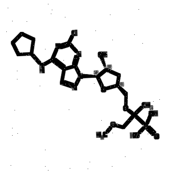 COCC(C)(OC[C@@H]1C[C@@H](O)[C@H](n2ncc3c(NC4CCCC4)nc(Cl)nc32)O1)P(=O)(O)O